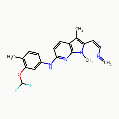 C=N/C=C\c1c(C)c2ccc(Nc3ccc(C)c(OC(F)F)c3)nc2n1C